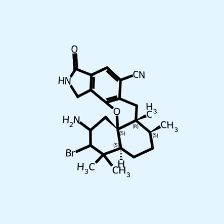 C[C@H]1CC[C@H]2C(C)(C)C(Br)C(N)C[C@]23Oc2c(c(C#N)cc4c2CNC4=O)C[C@]13C